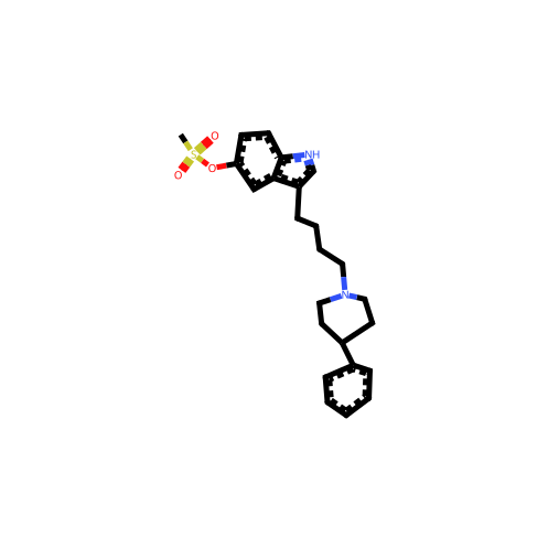 CS(=O)(=O)Oc1ccc2[nH]cc(CCCCN3CCC(c4ccccc4)CC3)c2c1